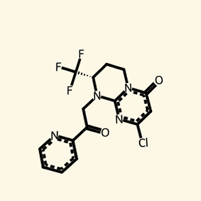 O=C(CN1c2nc(Cl)cc(=O)n2CC[C@H]1C(F)(F)F)c1ccccn1